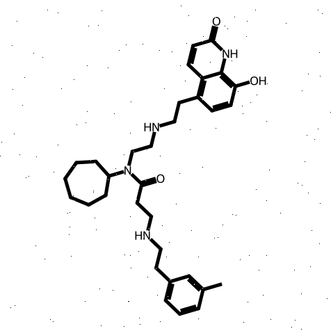 Cc1cccc(CCNCCC(=O)N(CCNCCc2ccc(O)c3[nH]c(=O)ccc23)C2CCCCCC2)c1